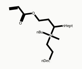 C=CC(=O)OCCC(CCCCCCC)[N+](C)(CCCC)CCCCCCCCCCCC